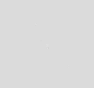 CC(C)(C)OC(=O)NC(CC1CCC(O)CC1)C(=O)OC1CCCC1